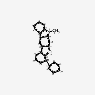 Cn1c2ccccc2c2cc3c(cc21)oc1c(-c2ccccc2)cccc13